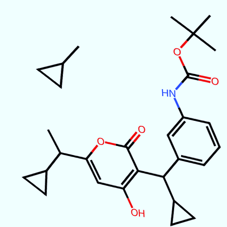 CC(c1cc(O)c(C(c2cccc(NC(=O)OC(C)(C)C)c2)C2CC2)c(=O)o1)C1CC1.CC1CC1